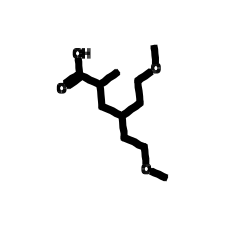 COCCC(CCOC)CC(C)C(=O)O